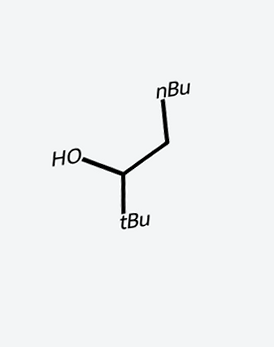 [CH2]C(C)(C)C(O)CCCCC